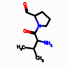 CC(C)C(N)C(=O)N1CCCC1C=O